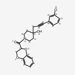 O=C(C1COc2ccccc2O1)N1CCC(O)(CC#Cc2cccc(Cl)c2)CC1